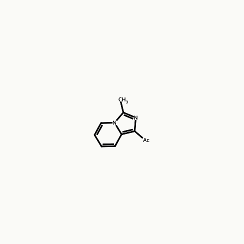 CC(=O)c1nc(C)n2ccccc12